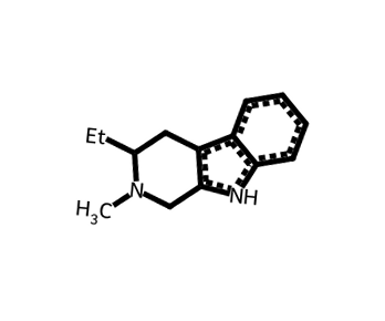 CCC1Cc2c([nH]c3ccccc23)CN1C